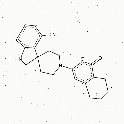 N#Cc1cccc2c1C1(CCN(c3cc4c(c(=O)[nH]3)CCCC4)CC1)CN2